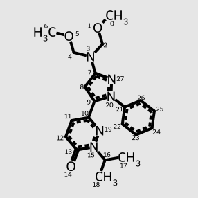 COCN(COC)c1cc(-c2ccc(=O)n(C(C)C)n2)n(-c2ccccc2)n1